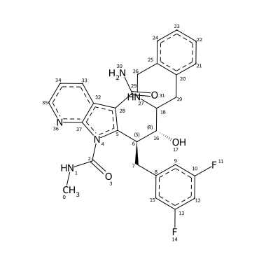 CNC(=O)n1c([C@H](Cc2cc(F)cc(F)c2)[C@@H](O)C2Cc3ccccc3CN2)c(C(N)=O)c2cccnc21